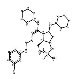 CC(C)(C)[Si](C)(C)OC1C[C@H](OC2CCCCO2)[C@H](/C(=C\CCOc2cccc(F)c2)OC2CCCCO2)[C@@H]1CC=O